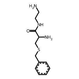 NCCNC(=O)C(N)CSCc1ccccc1